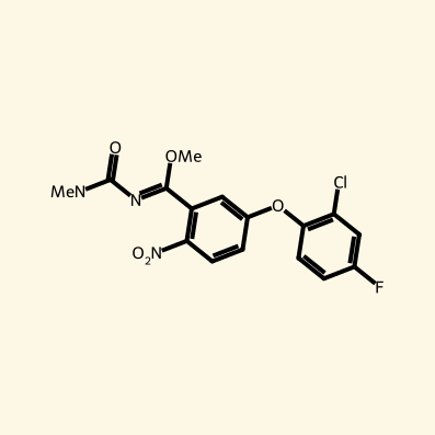 CNC(=O)N=C(OC)c1cc(Oc2ccc(F)cc2Cl)ccc1[N+](=O)[O-]